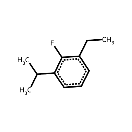 CCc1cccc(C(C)C)c1F